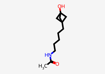 CC(=O)NCCCCCC12CC(O)(C1)C2